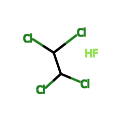 ClC(Cl)C(Cl)Cl.F